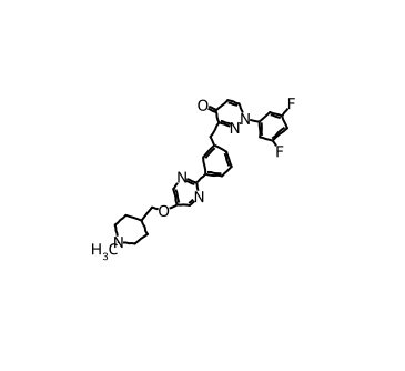 CN1CCC(COc2cnc(-c3cccc(Cc4nn(-c5cc(F)cc(F)c5)ccc4=O)c3)nc2)CC1